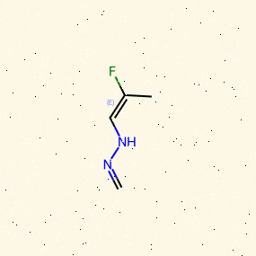 C=NN/C=C(\C)F